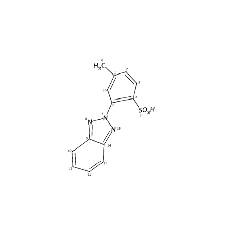 Cc1ccc(S(=O)(=O)O)c(-n2nc3ccccc3n2)c1